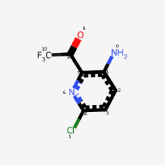 Nc1ccc(Cl)nc1C(=O)C(F)(F)F